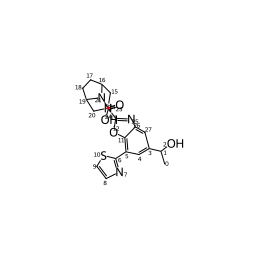 CC(O)c1cc(-c2nccs2)c2oc(N3CC4CCC(C3)N4C(=O)O)nc2c1